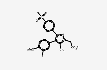 CCOC(=O)Cn1nc(-c2ccc(S(C)(=O)=O)cc2)c(-c2ccc(OC)c(F)c2)c1C(F)(F)F